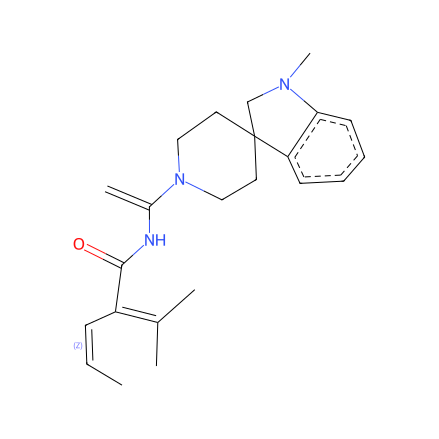 C=C(NC(=O)C(/C=C\C)=C(C)C)N1CCC2(CC1)CN(C)c1ccccc12